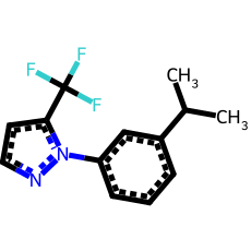 CC(C)c1cccc(-n2nccc2C(F)(F)F)c1